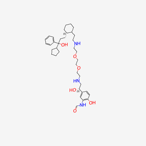 O=CNc1cc([C@H](O)CNCCOCCOCCNCCC2CCCC[C@H]2CCC(O)(c2ccccc2)C2CCCC2)ccc1O